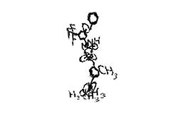 Cc1cc(C(=O)OC(C)(C)C)ccc1CCS(=O)(=O)N1CCC2(CC1)N=C(c1cc(OCc3ccccc3)cc(C(F)(F)F)c1)NC2=O